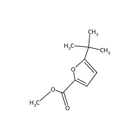 COC(=O)c1ccc(C(C)(C)C)o1